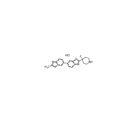 Cl.Cn1cc2cc(-c3ccc4nc(C5(F)CCNCC5)sc4c3)ccc2n1